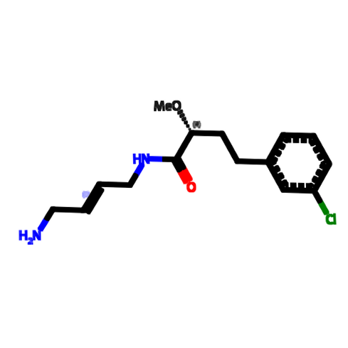 CO[C@H](CCc1cccc(Cl)c1)C(=O)NC/C=C/CN